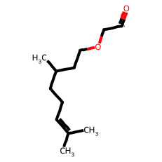 CC(C)=CCCC(C)CCOC[C]=O